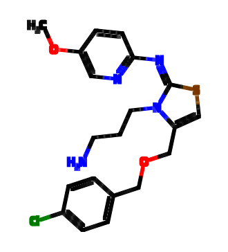 COc1ccc(N=c2scc(COCc3ccc(Cl)cc3)n2CCCN)nc1